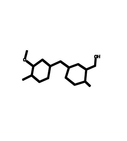 COC1CC(CC2CCC(C)C(CO)C2)CCC1C